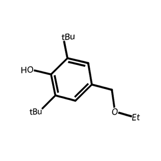 CCOCc1cc(C(C)(C)C)c(O)c(C(C)(C)C)c1